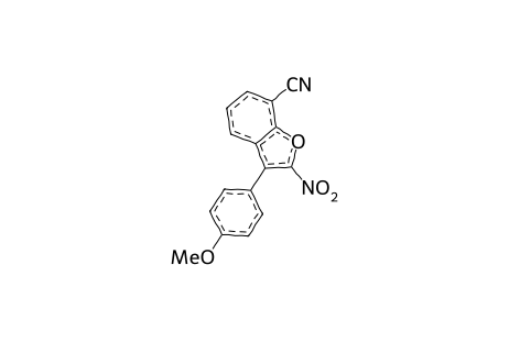 COc1ccc(-c2c([N+](=O)[O-])oc3c(C#N)cccc23)cc1